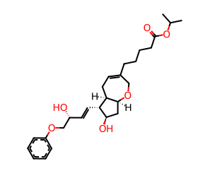 CC(C)OC(=O)CCCCC1=CC[C@@H]2[C@@H](/C=C/[C@@H](O)COc3ccccc3)[C@H](O)C[C@@H]2OC1